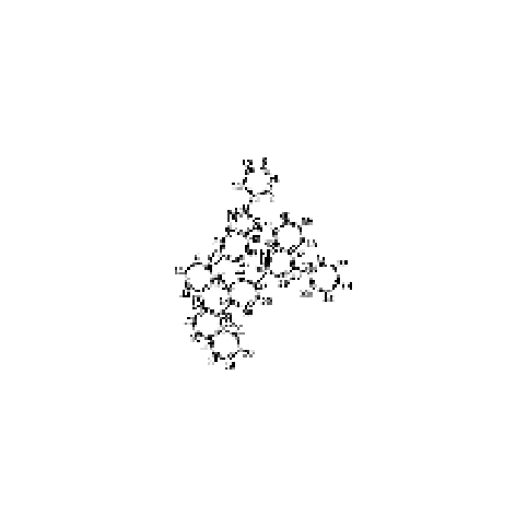 c1ccc(-c2nc3cc(-c4cccc(-c5ccc6ccccc6c5-c5ccc(-c6cc(-c7ccccc7)c7ccccc7n6)cc5)c4)ccc3s2)cc1